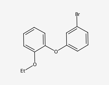 CCOc1ccccc1Oc1cccc(Br)c1